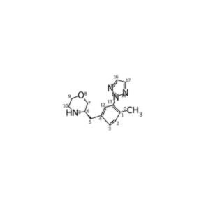 Cc1ccc(C[C@@H]2COCCN2)cc1-n1nccn1